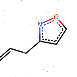 C=CCc1c[c]on1